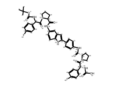 CC(C)(C)OC(=O)NC(C(=O)N1CCCC1C(=O)Nc1ccc2[nH]c(-c3ccc(NC(=O)[C@@H]4CCCN4C(=O)[C@H](NC(=O)O)c4ccc(F)cc4)cc3)cc2c1)c1ccc(F)cc1